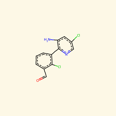 Nc1cc(Cl)cnc1-c1cccc(C=O)c1Cl